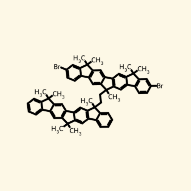 CC1(C)c2ccccc2-c2cc3c(cc21)-c1cc2c(cc1C3(C)C)-c1ccccc1C2(C)CCC1(C)c2cc3c(cc2-c2cc4c(cc21)-c1ccc(Br)cc1C4(C)C)C(C)(C)c1cc(Br)ccc1-3